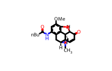 CCCCC(=O)Nc1cc(OC)c2c3c1C[C@@H]1[C@@H]4C=CC(=O)[C@H](O2)[C@]34CCN1C